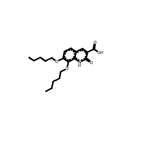 CCCCCOc1ccc2cc(C(=O)O)c(=O)[nH]c2c1OCCCCC